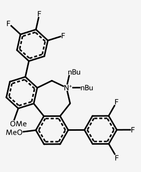 CCCC[N+]1(CCCC)Cc2c(-c3cc(F)c(F)c(F)c3)ccc(OC)c2-c2c(OC)ccc(-c3cc(F)c(F)c(F)c3)c2C1